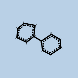 [c]1ccc(-c2c[c]c[c]c2)cc1